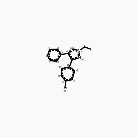 CCn1nc(-c2ccccc2)c(-c2ccc(Br)cc2)n1